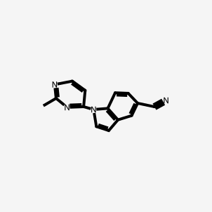 Cc1nccc(-n2ccc3cc(C#N)ccc32)n1